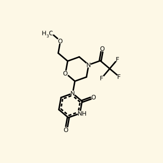 COCC1CN(C(=O)C(F)(F)F)CC(n2ccc(=O)[nH]c2=O)O1